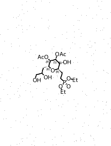 CCOP(=O)(CC[C@H]1O[C@H](CC(O)CO)[C@@H](OC(C)=O)[C@@H](OC(C)=O)[C@@H]1O)OCC